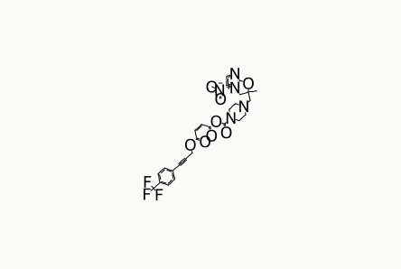 CC1(CN2CCN(C(=O)OC(=O)/C=C\C(=O)OCC#Cc3ccc(C(F)(F)F)cc3)CC2)Cn2c([N+](=O)[O-])cnc2O1